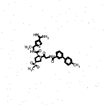 Cc1ccc(-c2cccc(C(=O)NCC(=O)N3C[C@H](S(C)(=O)=O)C[C@H]3C(=O)N[C@H](C)c3cc(C(=N)N)cs3)c2)cc1